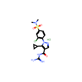 CN(C)S(=O)(=O)c1ccc(-n2ncc(C(=O)NC(=N)N)c2C2CC2)c(Cl)c1.Cl